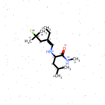 CC/C(=C/NC(CC(C)C)C(=O)NC)CC(C)(C)F